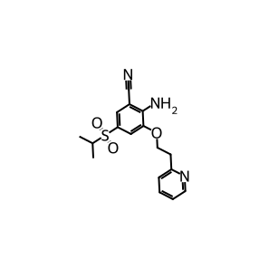 CC(C)S(=O)(=O)c1cc(C#N)c(N)c(OCCc2ccccn2)c1